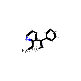 C=Cc1ncccc1/C(=C\C)c1ccccc1